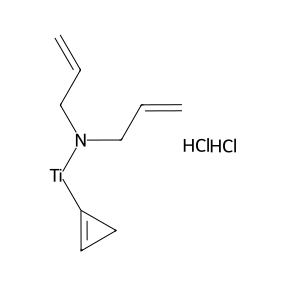 C=CC[N](CC=C)[Ti][C]1=CC1.Cl.Cl